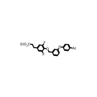 CCOC(=O)CCc1cc(F)c(OCc2cccc(Oc3ccc(C(C)=O)cc3)c2)c(F)c1